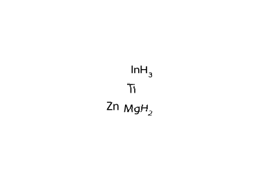 [InH3].[MgH2].[Ti].[Zn]